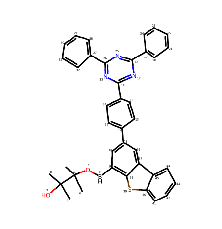 CC(C)(O)C(C)(C)OBc1cc(-c2ccc(-c3nc(-c4ccccc4)nc(-c4ccccc4)n3)cc2)cc2c1sc1ccccc12